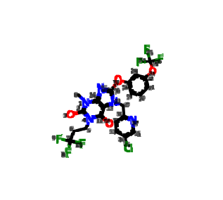 Cn1c(=O)n(CCC(F)(F)F)c(=O)c2c1nc(Oc1cccc(OC(F)(F)F)c1)n2Cc1ccc(Cl)cn1